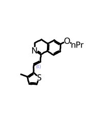 CCCOc1ccc2c(c1)CCN=C2/C=C/c1sccc1C